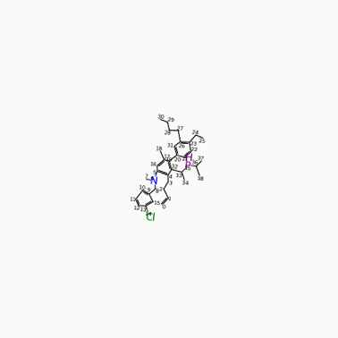 C=CCCc1c(N(C)Cc2cccc(Cl)c2)cc(C)c(-c2ccc(CC)c(CCCC)c2)c1C(C)PC(C)C